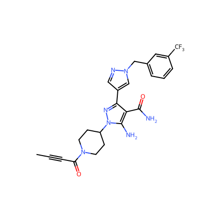 CC#CC(=O)N1CCC(n2nc(-c3cnn(Cc4cccc(C(F)(F)F)c4)c3)c(C(N)=O)c2N)CC1